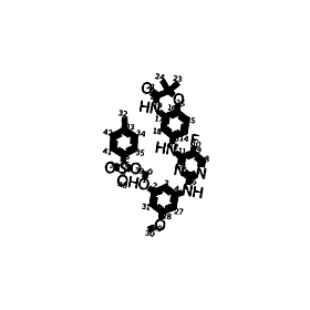 COc1cc(Nc2ncc(F)c(Nc3ccc4c(c3)NC(=O)C(C)(C)O4)n2)cc(OC)c1.Cc1ccc(S(=O)(=O)O)cc1